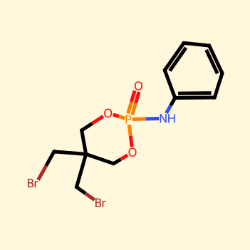 O=P1(Nc2ccccc2)OCC(CBr)(CBr)CO1